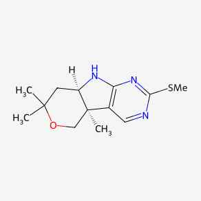 CSc1ncc2c(n1)N[C@@H]1CC(C)(C)OC[C@]21C